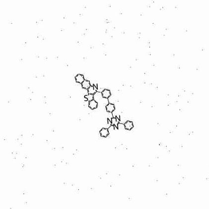 c1ccc(-c2nc(-c3ccccc3)nc(-c3ccc(-c4cccc(-c5nc6cc7ccccc7cc6c6sc7ccccc7c56)c4)cc3)n2)cc1